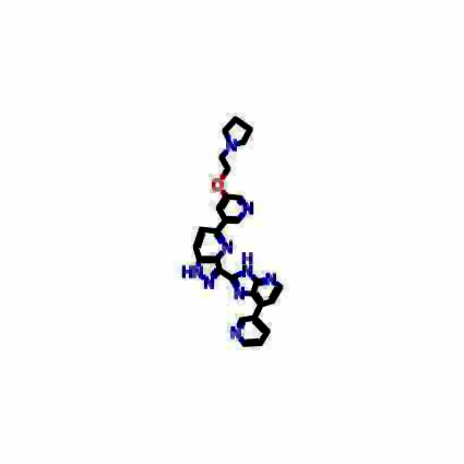 c1cncc(-c2ccnc3[nH]c(-c4n[nH]c5ccc(-c6cncc(OCCN7CCCC7)c6)nc45)nc23)c1